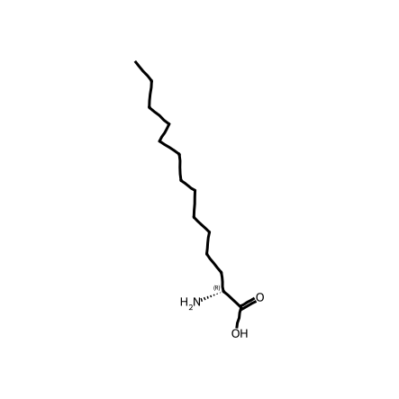 CCCCCCCCCCCC[C@@H](N)C(=O)O